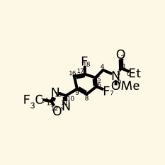 CCC(=O)N(Cc1c(F)cc(-c2noc(C(F)(F)F)n2)cc1F)OC